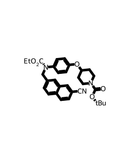 CCOC(=O)N(Cc1ccc2ccc(C#N)cc2c1)c1ccc(OC2CCN(C(=O)OC(C)(C)C)CC2)cc1